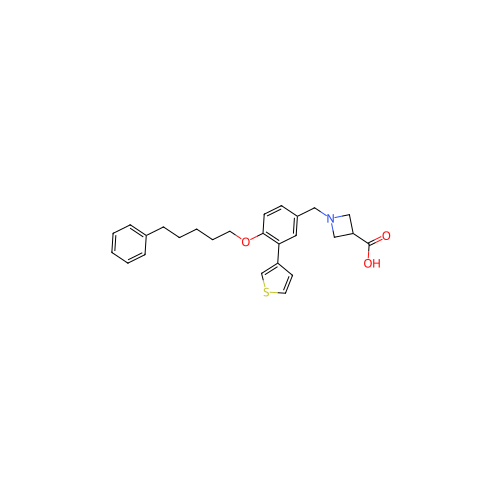 O=C(O)C1CN(Cc2ccc(OCCCCCc3ccccc3)c(-c3ccsc3)c2)C1